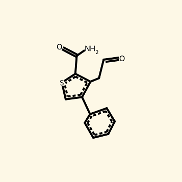 NC(=O)c1scc(-c2ccccc2)c1CC=O